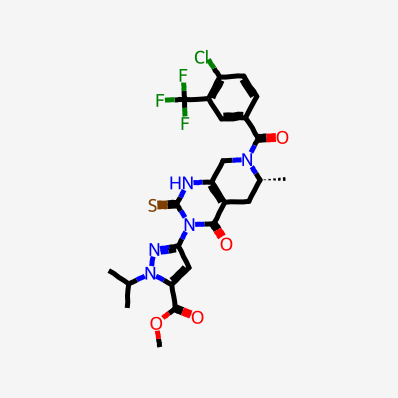 COC(=O)c1cc(-n2c(=S)[nH]c3c(c2=O)C[C@@H](C)N(C(=O)c2ccc(Cl)c(C(F)(F)F)c2)C3)nn1C(C)C